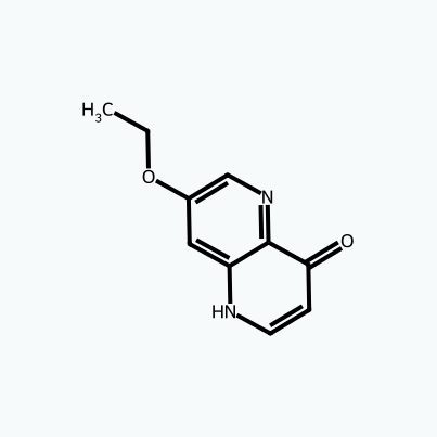 CCOc1cnc2c(=O)cc[nH]c2c1